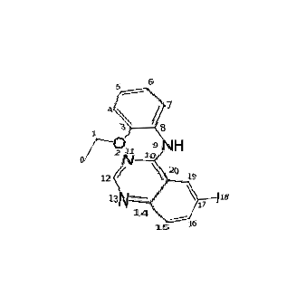 CCOc1ccccc1Nc1ncnc2ccc(I)cc12